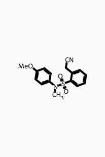 COc1ccc(N(C)S(=O)(=O)c2ccccc2CC#N)cc1